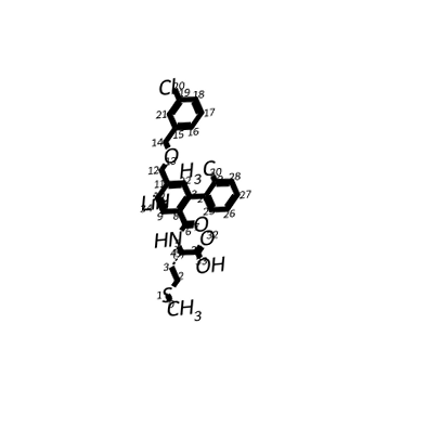 CSCC[C@H](NC(=O)c1ccc(COCc2cccc(Cl)c2)cc1-c1ccccc1C)C(=O)O.[LiH]